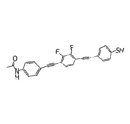 CC(=O)Nc1ccc(C#Cc2ccc(C#Cc3ccc(S)cc3)c(F)c2F)cc1